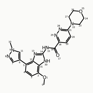 COc1ccc(-c2cnn(C)c2)c2nc(NC(=O)c3ccc(N4CCOCC4)nn3)[nH]c12